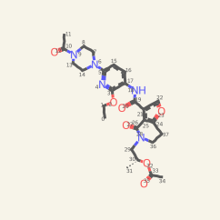 CCOc1nc(N2CCN(C(C)=O)CC2)ccc1NC(=O)c1coc2c1C(=O)N(C[C@@H](C)OC(C)=O)CC2